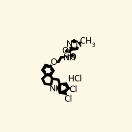 Cl.Cn1cnc(S(=O)(=O)NCCOc2ccc3c(c2)C(Cc2ccc(Cl)c(Cl)c2)C(N)CC3)c1